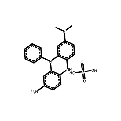 CN(C)c1ccc2c(c1)N(c1ccccc1)c1cc(N)ccc1N2.O=S(=O)(O)O